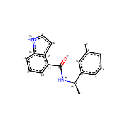 Cc1cccc([C@@H](C)NC(=O)c2cccc3[nH]ccc23)c1